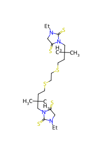 CCN1CC(=S)N(CC(C)(C)CCSCCSCCC(C)(C)CN2C(=S)CN(CC)C2=S)C1=S